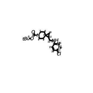 CC(C)(C)OC(=O)N1CCC2(CC1)CC2CNc1ccc(Cl)nn1